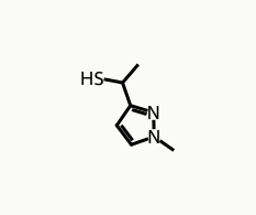 CC(S)c1ccn(C)n1